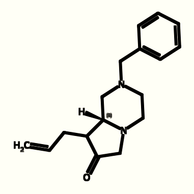 C=CCC1C(=O)CN2CCN(Cc3ccccc3)C[C@@H]12